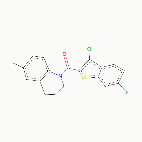 Cc1ccc2c(c1)CCCN2C(=O)c1sc2cc(F)ccc2c1Cl